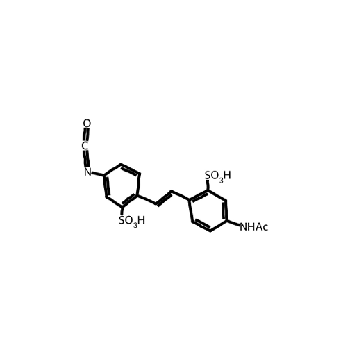 CC(=O)Nc1ccc(/C=C/c2ccc(N=C=O)cc2S(=O)(=O)O)c(S(=O)(=O)O)c1